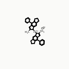 CC1=Cc2c(cc3c(c2-c2ccccc2)CCC3)[CH]1[Zr+2][CH]1C(C)=Cc2c1cc1c(c2-c2ccccc2)CCC1.[Cl-].[Cl-]